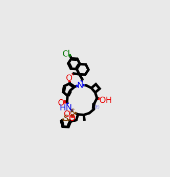 CC1C/C=C/C(O)C2CCC2CN2CC3(CCCc4cc(Cl)ccc43)COc3ccc(cc32)C(=O)NS(=O)(=O)C1Cc1cccs1